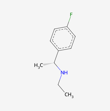 CCN[C@H](C)c1ccc(F)cc1